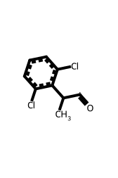 CC([C]=O)c1c(Cl)cccc1Cl